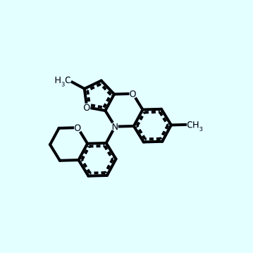 Cc1ccc2c(c1)Oc1cc(C)oc1N2c1cccc2c1OCCC2